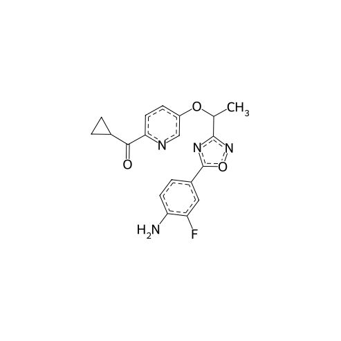 CC(Oc1ccc(C(=O)C2CC2)nc1)c1noc(-c2ccc(N)c(F)c2)n1